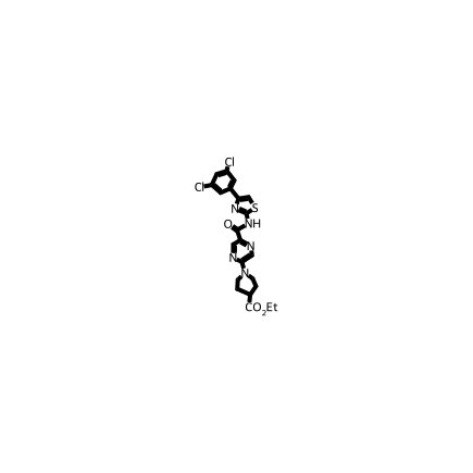 CCOC(=O)C1CCN(c2cnc(C(=O)Nc3nc(-c4cc(Cl)cc(Cl)c4)cs3)cn2)CC1